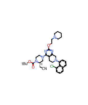 CC(C)(C)OC(=O)N1CCN(c2nc(OCCN3CCCCC3)nc3c2CCN(c2cccc4cccc(Cl)c24)C3)C[C@@H]1CC#N